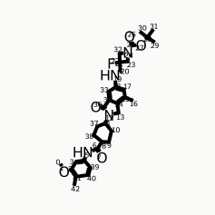 COc1cc(NC(=O)C2CCC(N3Cc4c(C)cc(NCC5(F)CN(C(=O)OC(C)(C)C)C5)cc4C3=O)CC2)ccc1C